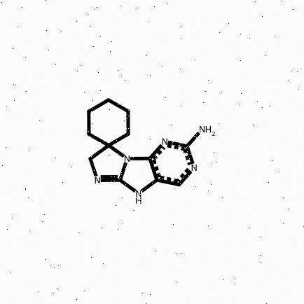 Nc1ncc2c(n1)N1C(=NCC13CCCCC3)N2